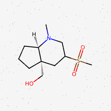 CN1CC(S(C)(=O)=O)C[C@@]2(CO)CCC[C@@H]12